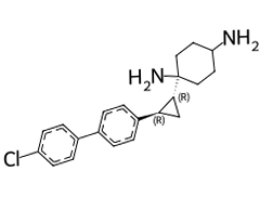 NC1CCC(N)([C@@H]2C[C@H]2c2ccc(-c3ccc(Cl)cc3)cc2)CC1